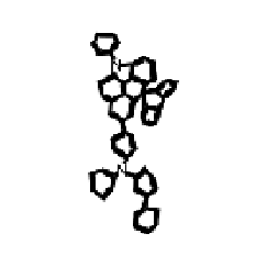 c1ccc(-c2cccc(N(c3ccccc3)c3ccc(-c4cc5c6c(ccc7c6c6c(cccc6n7-c6ccccc6)C56c5ccccc5-c5ccccc56)c4)cc3)c2)cc1